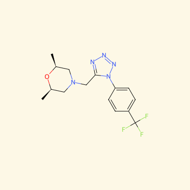 C[C@@H]1CN(Cc2nnnn2-c2ccc(C(F)(F)F)cc2)C[C@H](C)O1